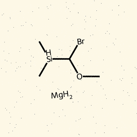 COC(Br)[SiH](C)C.[MgH2]